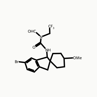 COC1CCC2(CC1)Cc1ccc(Br)cc1C2NC(=O)N(C=O)CC(F)(F)F